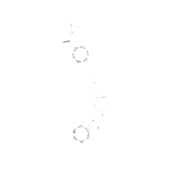 O=C(c1ccc(OCCC[C@@H]2CCN(NS(=O)(=O)c3ccccc3Cl)C2)cc1)C1CC1